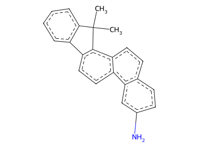 CC1(C)c2ccccc2-c2ccc3c(ccc4ccc(N)cc43)c21